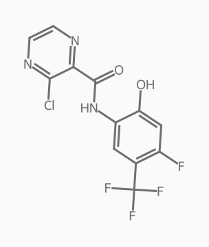 O=C(Nc1cc(C(F)(F)F)c(F)cc1O)c1nccnc1Cl